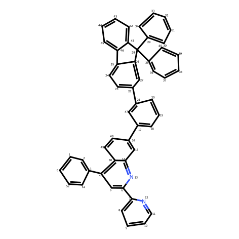 c1ccc(-c2cc(-c3ccccn3)nc3cc(-c4cccc(-c5ccc6c(c5)C(c5ccccc5)(c5ccccc5)c5ccccc5-6)c4)ccc23)cc1